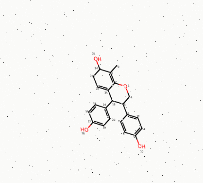 CC1=C2OCC(c3ccc(O)cc3)C(c3ccc(O)cc3)C2=CCC1O